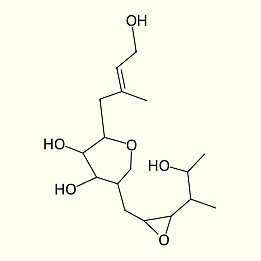 C/C(=C\CO)CC1OCC(CC2OC2C(C)C(C)O)C(O)C1O